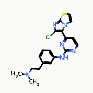 CN(C)CCc1cccc(Nc2nccc(-c3c(Cl)nc4sccn34)n2)c1